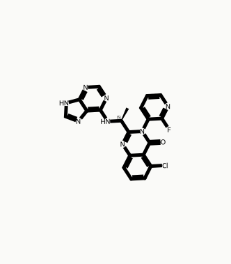 C[C@H](Nc1ncnc2[nH]cnc12)c1nc2cccc(Cl)c2c(=O)n1-c1cccnc1F